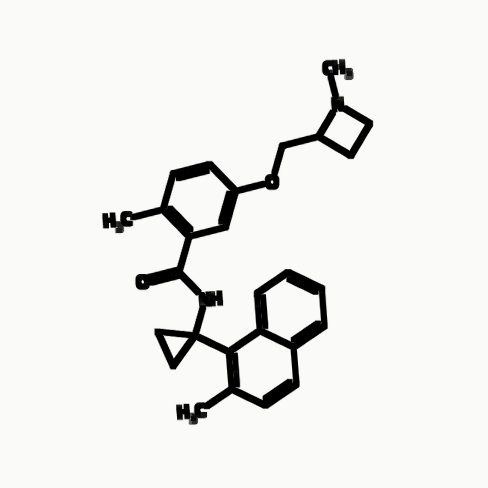 Cc1ccc(OCC2CCN2C)cc1C(=O)NC1(c2c(C)ccc3ccccc23)CC1